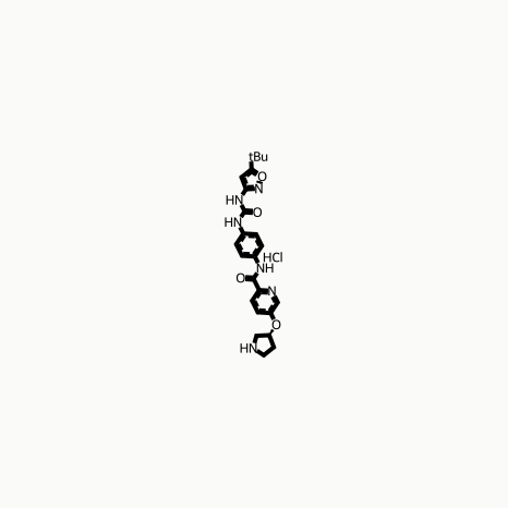 CC(C)(C)c1cc(NC(=O)Nc2ccc(NC(=O)c3ccc(O[C@H]4CCNC4)cn3)cc2)no1.Cl